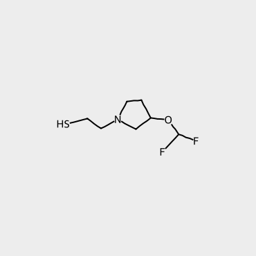 FC(F)OC1CCN(CCS)C1